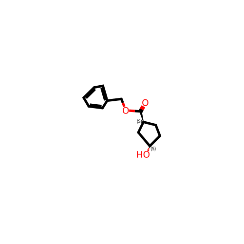 O=C(OCc1ccccc1)[C@H]1CC[C@H](O)C1